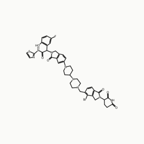 O=C1CCC(N2Cc3c(ccc(CN4CCN(C5CCN(c6ccc7c(c6)C(=O)N(C(C(=O)Nc6nccs6)c6cc(F)ccc6O)C7)CC5)CC4)c3Br)C2=O)C(=O)N1